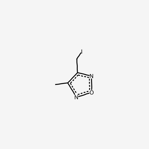 Cc1nonc1CI